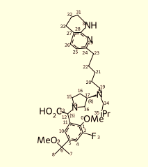 COc1c(F)cc(C(C)(C)OC)cc1[C@@H](C(=O)O)N1CC[C@@H](N(CCCCCc2ccc3c(n2)NCCC3)CC(C)C)C1